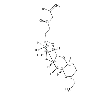 C=C(Br)C[C@H](Cl)CC[C@@]12O[C@H]3[C@H]4O[C@@H](CC)CC[C@@H]4OC4[C@H]3O[C@](O)([C@H]4O1)[C@H]2O